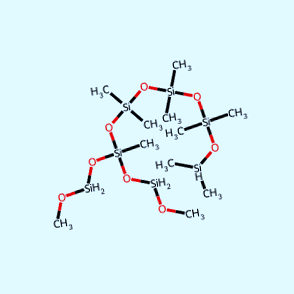 CO[SiH2]O[Si](C)(O[SiH2]OC)O[Si](C)(C)O[Si](C)(C)O[Si](C)(C)O[SiH](C)C